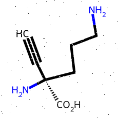 C#C[C@](N)(CCCN)C(=O)O